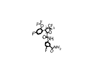 C[C@H]1[C@@H](c2ccc(F)cc2OC(F)F)[C@H](C(=O)Nc2ccc(F)c(C(N)=O)c2)O[C@@]1(C)C(F)(F)F